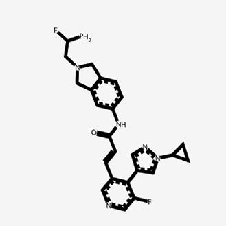 O=C(/C=C/c1cncc(F)c1-c1cnn(C2CC2)c1)Nc1ccc2c(c1)CN(CC(F)P)C2